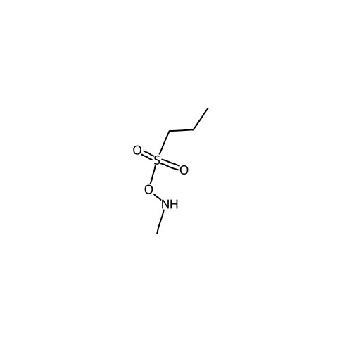 CCCS(=O)(=O)ONC